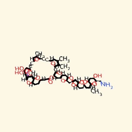 C=C1C[C@@H]2CC[C@]34CC(O)(O)C(O3)[C@@H]3O[C@H]5CC[C@H](CC(=O)O[C@@H]6CC7OC8C[C@]9(C[C@@H]%10O[C@@]%11(CC[C@@H]%10O9)C[C@H](C)[C@@H]9O[C@H](CN)[C@H](O)C[C@@H]9O%11)O[C@@H]8C[C@@H]7O[C@H]6C[C@H]6O[C@@H](CC[C@@H]1O2)C[C@@H](C)C6=C)O[C@@H]5[C@H](O4)[C@@H]3I